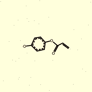 C=CC(=O)Oc1ccc([O])cc1